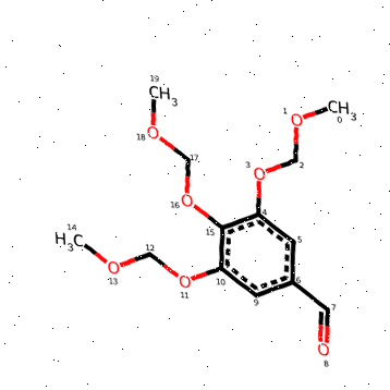 COCOc1cc(C=O)cc(OCOC)c1OCOC